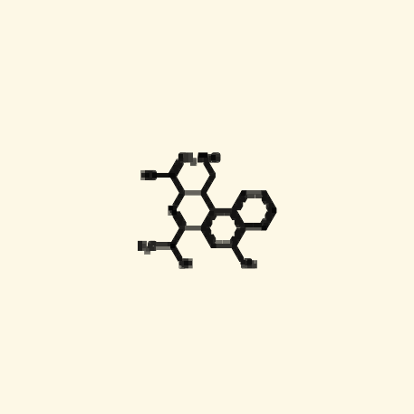 C=C(S)C1=NC(C(=C)O)C(COC)c2c1cc(C(C)(C)C)c1ccccc21